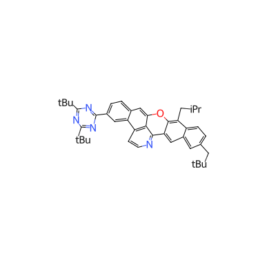 CC(C)Cc1c2c(cc3cc(CC(C)(C)C)ccc13)-c1nccc3c1c(cc1ccc(-c4nc(C(C)(C)C)nc(C(C)(C)C)n4)cc13)O2